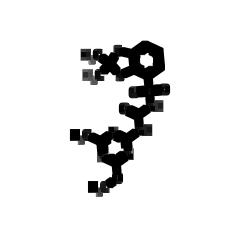 COc1nc(C)nc(NC(=O)NS(=O)(=O)c2cccc3c2SC(C)(C)S3)n1